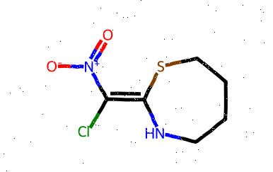 O=[N+]([O-])C(Cl)=C1NCCCCS1